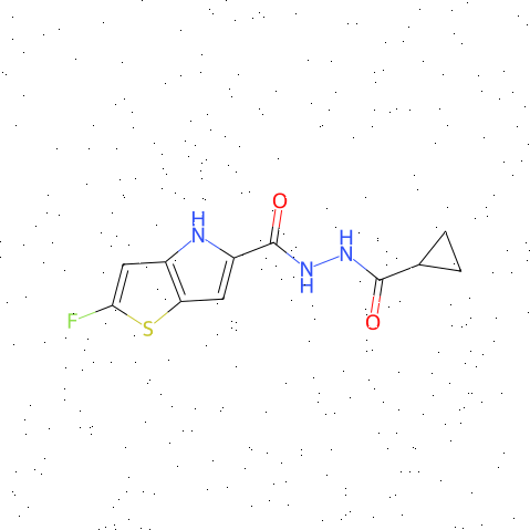 O=C(NNC(=O)C1CC1)c1cc2sc(F)cc2[nH]1